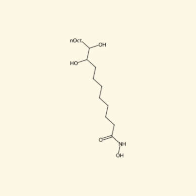 CCCCCCCCC(O)C(O)CCCCCCCC(=O)NO